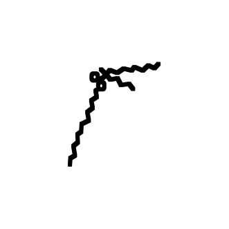 CCCCCCCCCCCCCCOC(=O)C(C)(CCCCC)CCCCCCCCC